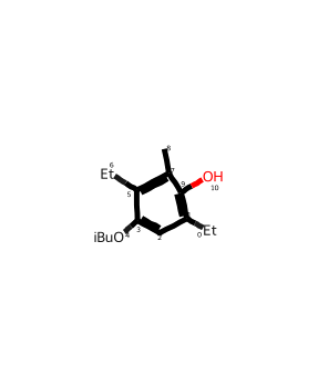 CCc1cc(OCC(C)C)c(CC)c(C)c1O